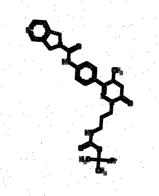 CCCC(C)(C)OC(=O)NCCCN1N=C(c2ccc(NC(=O)N3Cc4ccncc4C3)cc2)C(C)CC1=O